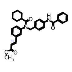 COC(=O)/C=C/c1cccc(N(Cc2ccc(NC(=O)c3ccccc3)cc2)C(=O)C2CCCCC2)c1